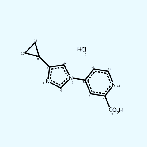 Cl.O=C(O)c1cc(-n2cnc(C3CC3)c2)ccn1